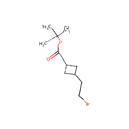 CC(C)(C)OC(=O)C1CC(CCBr)C1